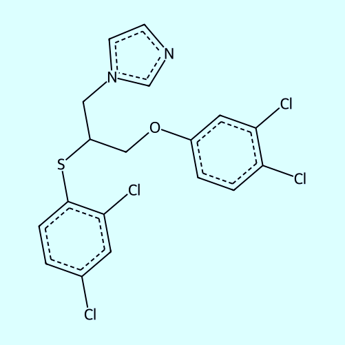 Clc1ccc(SC(COc2ccc(Cl)c(Cl)c2)Cn2ccnc2)c(Cl)c1